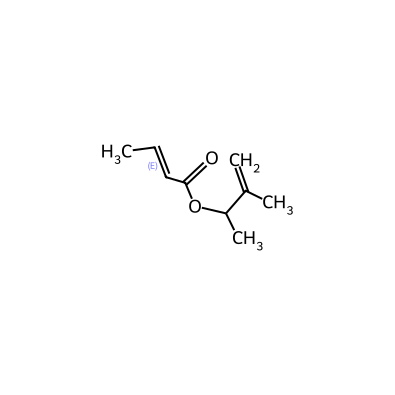 C=C(C)C(C)OC(=O)/C=C/C